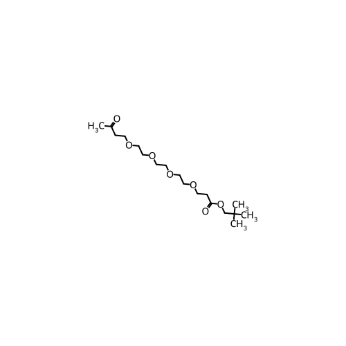 CC(=O)CCOCCOCCOCCOCCC(=O)OCC(C)(C)C